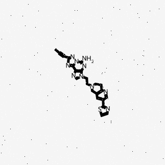 CC#Cc1nc2c3ncn(CCN4CCc5ncc(-c6nccs6)cc5C4)c3nc(N)n2n1